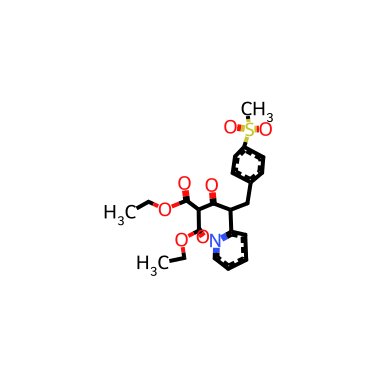 CCOC(=O)C(C(=O)OCC)C(=O)C(Cc1ccc(S(C)(=O)=O)cc1)c1ccccn1